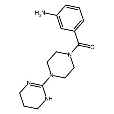 Nc1cccc(C(=O)N2CCN(C3=NCCCN3)CC2)c1